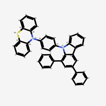 c1ccc(-c2cc(-c3ccccc3)c3c(c2)c2ccccc2n3-c2ccc(N3c4ccccc4Sc4ccccc43)cc2)cc1